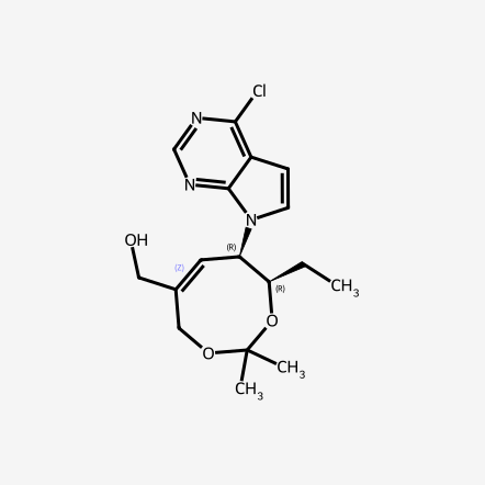 CC[C@H]1OC(C)(C)OC/C(CO)=C\[C@H]1n1ccc2c(Cl)ncnc21